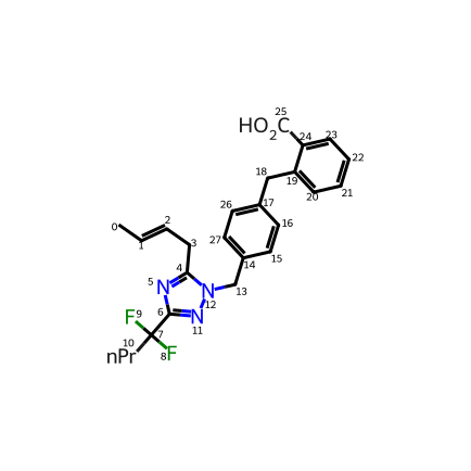 C/C=C/Cc1nc(C(F)(F)CCC)nn1Cc1ccc(Cc2ccccc2C(=O)O)cc1